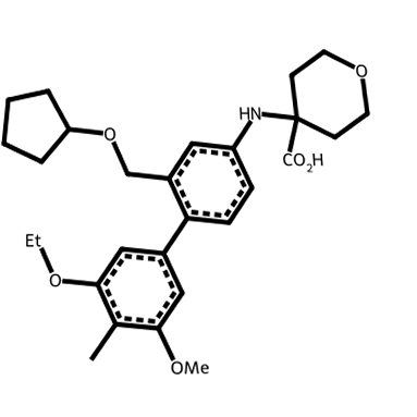 CCOc1cc(-c2ccc(NC3(C(=O)O)CCOCC3)cc2COC2CCCC2)cc(OC)c1C